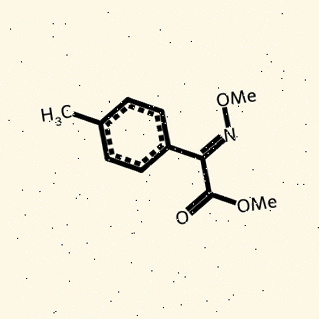 CO/N=C(/C(=O)OC)c1ccc(C)cc1